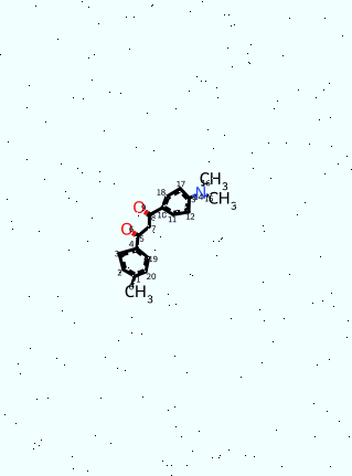 Cc1ccc(C(=O)CC(=O)c2ccc(N(C)C)cc2)cc1